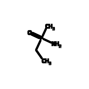 CCP(C)(N)=O